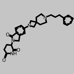 O=C1CCC(N2Cc3cc(N4CC5(CCN(CCCc6ccccc6)CC5)C4)ccc3C2=O)C(=O)N1